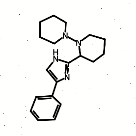 c1ccc(-c2c[nH]c(C3CCCCN3N3CCCCC3)n2)cc1